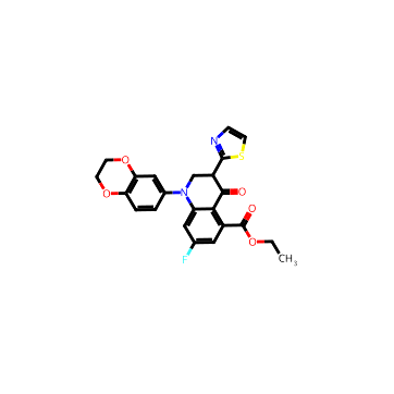 CCOC(=O)c1cc(F)cc2c1C(=O)C(c1nccs1)CN2c1ccc2c(c1)OCCO2